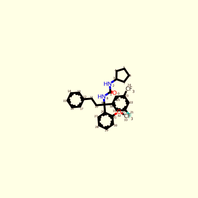 O=C(NC1CCCC1)NC(CCc1ccccc1)(c1cc(F)cc(C(F)(F)F)c1)c1ccccc1OC(F)(F)F